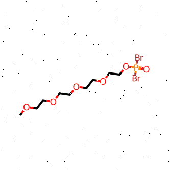 COCCOCCOCCOCCOP(=O)(Br)Br